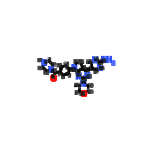 CN1CCN(C(=O)c2ccc(N3CCc4c(-c5cnc(N)nc5)nc(N5CCOCC5)nc43)cc2)CC1